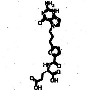 Nc1nc(=O)c2c(ccn2CCCc2ccc(C(=O)N[C@@H](CCC(=O)O)C(=O)O)o2)[nH]1